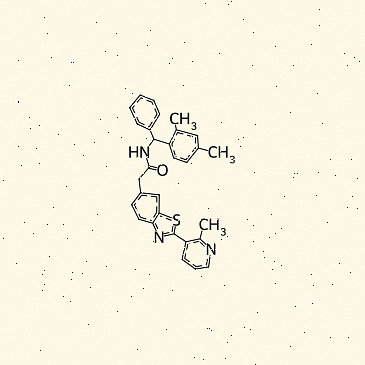 Cc1ccc(C(NC(=O)Cc2ccc3nc(-c4cccnc4C)sc3c2)c2ccccc2)c(C)c1